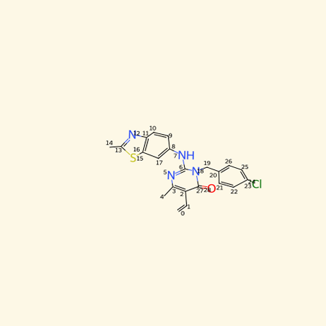 C=Cc1c(C)nc(Nc2ccc3nc(C)sc3c2)n(Cc2ccc(Cl)cc2)c1=O